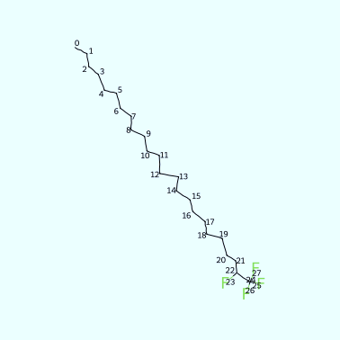 CCCCCCCCCCCCCCCCCCCCCCC(F)C(F)(F)F